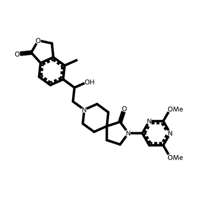 COc1cc(N2CCC3(CCN(CC(O)c4ccc5c(c4C)COC5=O)CC3)C2=O)nc(OC)n1